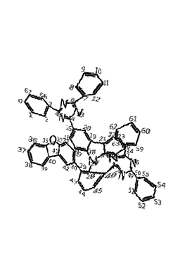 c1ccc(-c2nc(-c3ccccc3)nc(-c3ccc4c(c3)c3ccccc3n4-c3c(-c4ccc5oc6ccccc6c5c4)cccc3-c3nc(-c4ccccc4)nc(-c4ccccc4)n3)n2)cc1